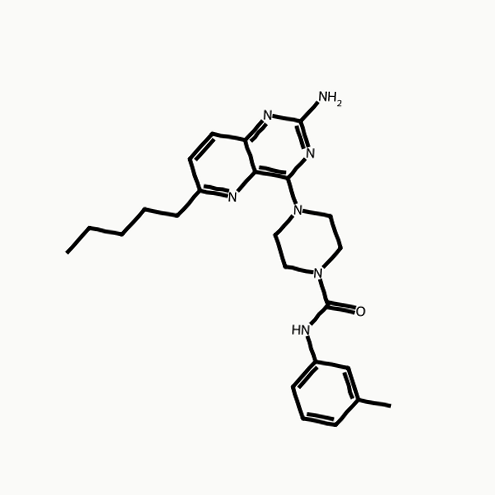 CCCCCc1ccc2nc(N)nc(N3CCN(C(=O)Nc4cccc(C)c4)CC3)c2n1